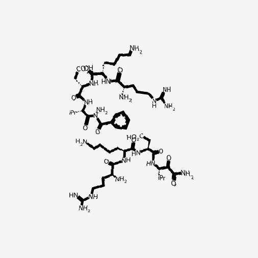 CC(C)[C@H](NC(=O)[C@H](CC(=O)O)NC(=O)[C@H](CCCCN)NC(=O)[C@@H](N)CCCNC(=N)N)C(=O)C(N)=O.CC(C)[C@H](NC(=O)[C@H](CC(=O)O)NC(=O)[C@H](CCCCN)NC(=O)[C@@H](N)CCCNC(=N)N)C(=O)N(N)C(=O)c1ccccc1